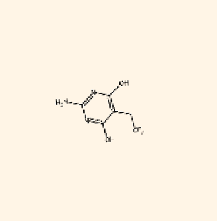 Nc1nc(O)c(CC(F)(F)F)c(O)n1